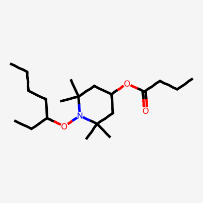 CCCCC(CC)ON1C(C)(C)CC(OC(=O)CCC)CC1(C)C